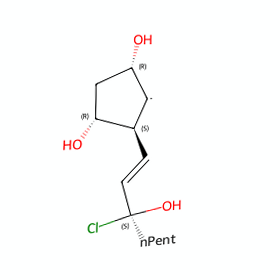 CCCCC[C@](O)(Cl)C=C[C@@H]1[CH][C@@H](O)C[C@H]1O